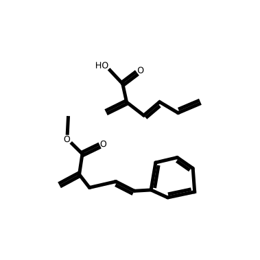 C=C(CC=Cc1ccccc1)C(=O)OC.C=CC=CC(=C)C(=O)O